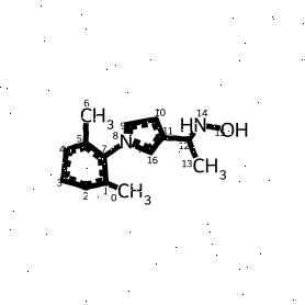 Cc1cccc(C)c1-n1ccc(C(C)NO)c1